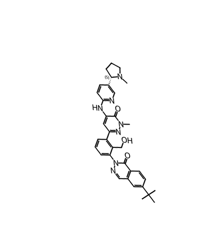 CN1CCC[C@H]1c1ccc(Nc2cc(-c3cccc(-n4ncc5cc(C(C)(C)C)ccc5c4=O)c3CO)nn(C)c2=O)nc1